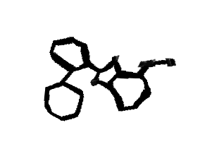 CCNc1cccc2oc(-c3ccccc3C3CCCCC3)nc12